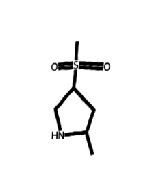 CC1CC(S(C)(=O)=O)CN1